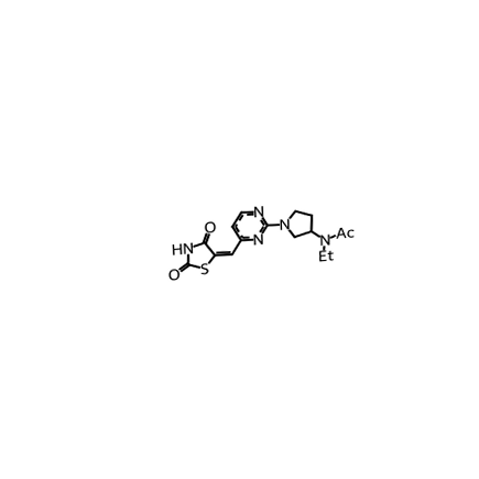 CCN(C(C)=O)C1CCN(c2nccc(C=C3SC(=O)NC3=O)n2)C1